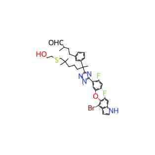 CC(C=O)CCc1cccc(C(C)(CCCC(C)(C)CSCCO)c2nc(-c3cc(Oc4c(F)cc5[nH]ccc5c4Br)ccc3F)n(C)n2)c1